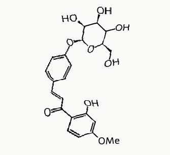 COc1ccc(C(=O)/C=C/c2ccc(O[C@@H]3O[C@H](CO)C(O)[C@H](O)[C@@H]3O)cc2)c(O)c1